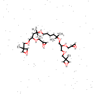 CCC1(COCC(COC(C)(C)CCCCOC(C)(C)CC(COCC2(CC)COC2)OCC2CO2)OCC2CO2)COC1